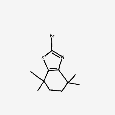 CC1(C)CCC(C)(C)c2sc(Br)nc21